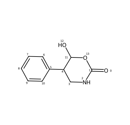 O=C1NCC(c2ccccc2)C(O)O1